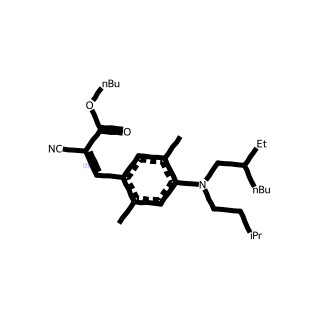 CCCCOC(=O)/C(C#N)=C\c1cc(C)c(N(CCC(C)C)CC(CC)CCCC)cc1C